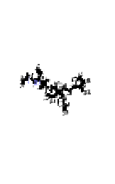 C=C/C(=C\N=C/C)C(C)(C)N1CCC(CCc2sccc2C)(COCC)C1